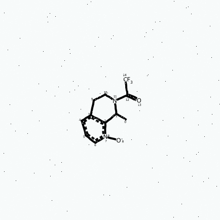 CC1c2c(ccc[n+]2[O-])CCN1C(=O)C(F)(F)F